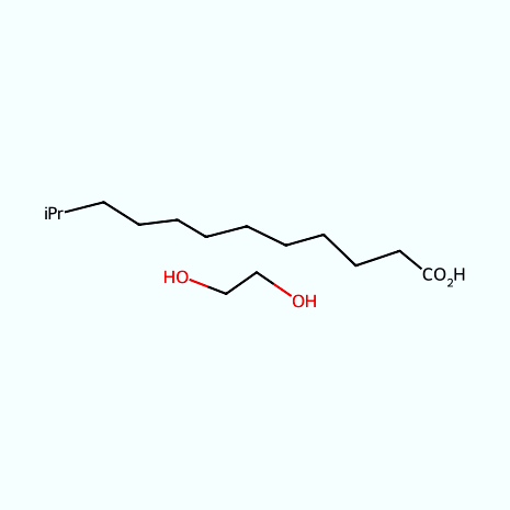 CC(C)CCCCCCCCCC(=O)O.OCCO